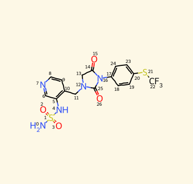 NS(=O)(=O)Nc1cnccc1CN1CC(=O)N(c2ccc(SC(F)(F)F)cc2)C1=O